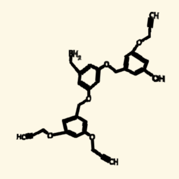 BCc1cc(OCc2cc(O)cc(OCC#C)c2)cc(OCc2cc(OCC#C)cc(OCC#C)c2)c1